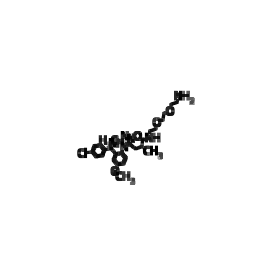 COc1ccc(-n2c(C)nnc2CC(C)C(=O)NCCOCCOCCN)c(C(=N)c2ccc(Cl)cc2)c1